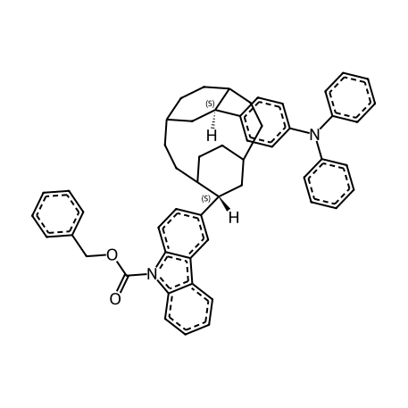 O=C(OCc1ccccc1)n1c2ccccc2c2cc([C@H]3CC4CCC5CCC(CCC3CC4)C[C@@H]5c3ccc(N(c4ccccc4)c4ccccc4)cc3)ccc21